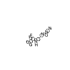 COc1ccc(-c2[nH]c3ccc(C4CCN(CC(=O)N5CCC(N(C)C)CC5)CC4)cc3c2CC(F)(F)F)cc1OC